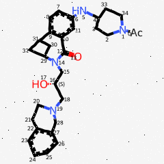 CC(=O)N1CCC(Nc2ccc3c(c2)C(=O)N(C[C@@H](O)CN2CCc4ccccc4C2)C2CC3C2)CC1